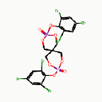 O=P1(Oc2c(Br)cc(Br)cc2Br)OCC2(CO1)COP(=O)(Oc1c(Br)cc(Br)cc1Br)OC2